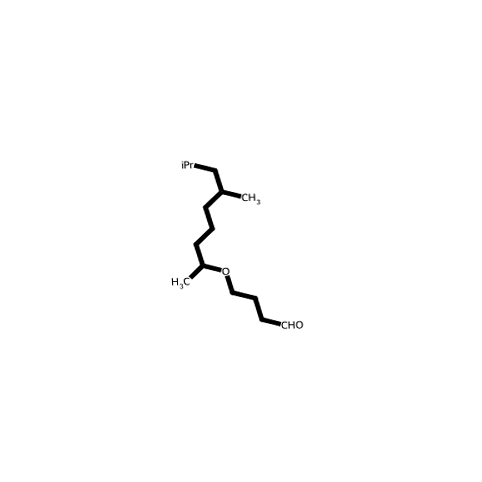 CC(C)CC(C)CCCC(C)OCCCC=O